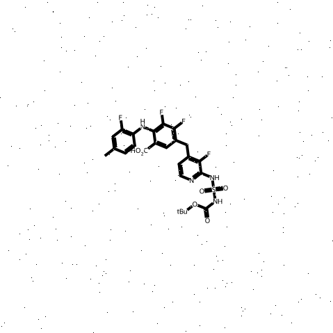 Cc1ccc(Nc2c(C(=O)O)cc(Cc3ccnc(NS(=O)(=O)NC(=O)OC(C)(C)C)c3F)c(F)c2F)c(F)c1